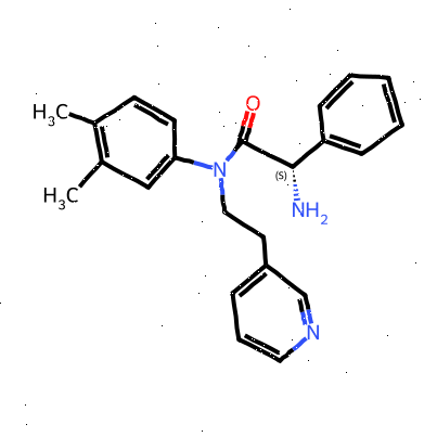 Cc1ccc(N(CCc2cccnc2)C(=O)[C@@H](N)c2ccccc2)cc1C